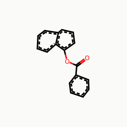 O=C(Oc1cccc2ccccc12)c1ccccc1